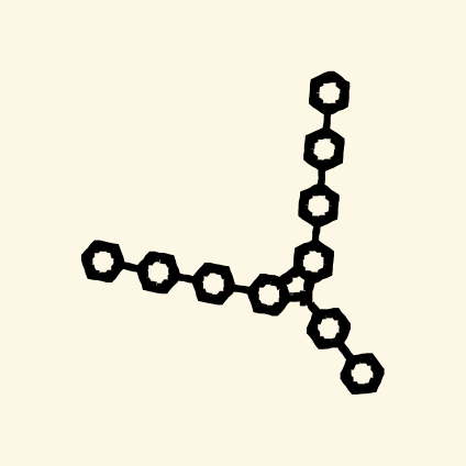 c1ccc(-c2ccc(-c3ccc(-c4ccc5c(c4)c4cc(-c6ccc(-c7ccc(-c8ccccc8)cc7)cc6)ccc4n5-c4ccc(-c5ccccc5)cc4)cc3)cc2)cc1